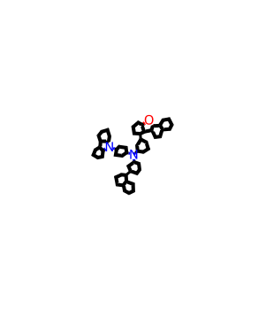 c1cc(-c2cccc3ccccc23)cc(N(c2ccc(-n3c4ccccc4c4ccccc43)cc2)c2cccc(-c3cccc4oc5c6ccccc6ccc5c34)c2)c1